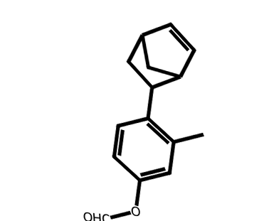 Cc1cc(OC=O)ccc1C1CC2C=CC1C2